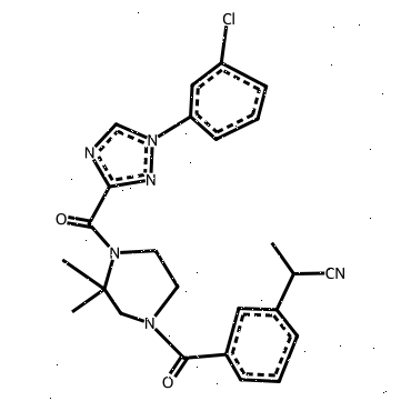 CC(C#N)c1cccc(C(=O)N2CCN(C(=O)c3ncn(-c4cccc(Cl)c4)n3)C(C)(C)C2)c1